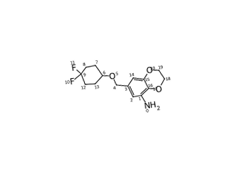 Nc1cc(COC2CCC(F)(F)CC2)cc2c1OCCO2